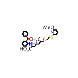 COc1cccc(SCCOC/C(C)=C/CCC(Nc2ccccc2C(=O)c2ccccc2)C(=O)O)n1